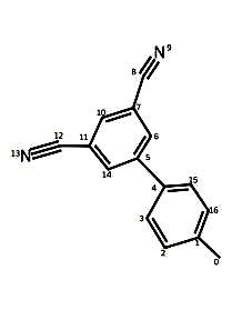 Cc1ccc(-c2cc(C#N)cc(C#N)c2)cc1